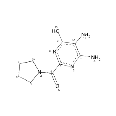 Nc1nc(C(=O)N2CCCC2)nc(O)c1N